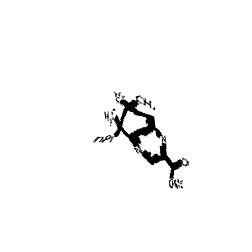 CCCC1(C)c2ncc(C(=O)OC)nc2CC1(C)C